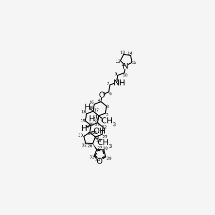 C[C@]12CC[C@H](OCCNCCN3CCCC3)C[C@H]1CC[C@@H]1[C@@H]2CC[C@]2(C)[C@@H](c3ccoc3)CC[C@]12O